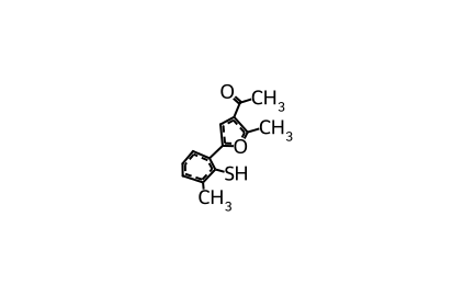 CC(=O)c1cc(-c2cccc(C)c2S)oc1C